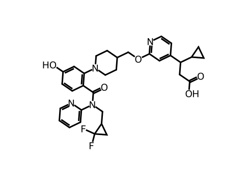 O=C(O)CC(c1ccnc(OCC2CCN(c3cc(O)ccc3C(=O)N(CC3CC3(F)F)c3ccccn3)CC2)c1)C1CC1